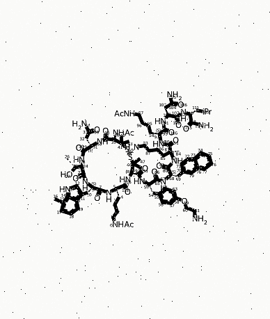 CC(=O)NCCCC[C@@H]1NC(=O)[C@H](Cc2c[nH]c3c(C)cccc23)NC(=O)[C@H]([C@@H](C)O)NC(=O)[C@H](CC(N)=O)NC(=O)[C@@H](NC(C)=O)C(C)(C)SSC(C)(C)[C@@H](C(=O)N[C@@H](Cc2ccc(OCCN)cc2)C(=O)N[C@@H](Cc2ccc3ccccc3c2)C(=O)N[C@@](C)(CCCCN)C(=O)N[C@@H](CCCCNC(C)=O)C(=O)N[C@@H](CC(N)=O)C(=O)N[C@H](CC(C)C)C(N)=O)NC1=O